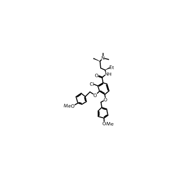 CC[C@H](C[C@@H](C)N(C)C)NC(=O)c1ccc(OCc2ccc(OC)cc2)c(OCc2ccc(OC)cc2)c1Cl